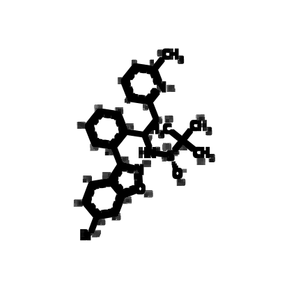 Cc1cccc(CC(N[S@@+]([O-])C(C)(C)C)c2ccccc2-c2noc3cc(Br)ccc23)n1